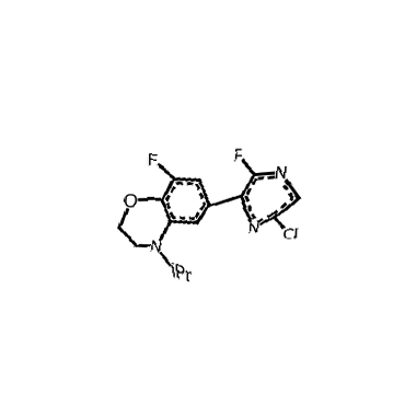 CC(C)N1CCOc2c(F)cc(-c3nc(Cl)cnc3F)cc21